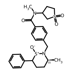 C[C@H]1CCC(c2ccccc2)[S+]([O-])N1Cc1ccc(C(=O)N(C)C2CCS(=O)(=O)C2)cc1